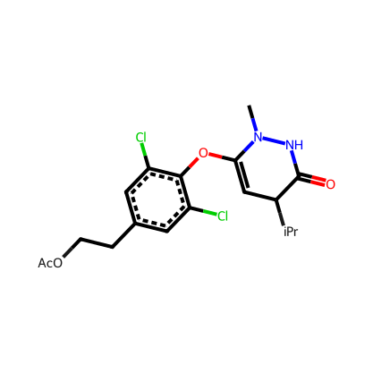 CC(=O)OCCc1cc(Cl)c(OC2=CC(C(C)C)C(=O)NN2C)c(Cl)c1